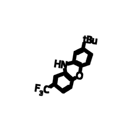 CC(C)(C)c1ccc2c(c1)Nc1cc(C(F)(F)F)ccc1O2